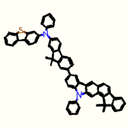 CC1(C)c2cc(-c3ccc4c(c3)c3cc5ccc6c(c5cc3n4-c3ccccc3)C(C)(C)c3ccccc3-6)ccc2-c2ccc(N(c3ccccc3)c3ccc4c(c3)sc3ccccc34)cc21